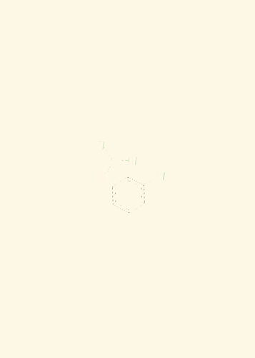 Clc1ccccc1.[O-][S+](Cl)Cl